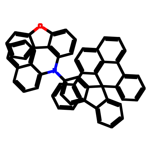 c1ccc(-c2ccc3cccc4c3c2C2(c3ccccc3-c3ccc(N(c5cccc6ccccc56)c5cccc6oc7ccccc7c56)cc32)c2ccccc2-4)cc1